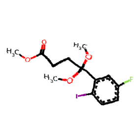 COC(=O)CCC(OC)(OC)c1cc(F)ccc1I